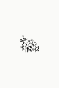 CCC1c2nncn2-c2cnc(Nc3ccc(C(=O)NC)cc3C(F)F)nc2N1C1CCCC1